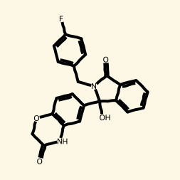 O=C1COc2ccc(C3(O)c4ccccc4C(=O)N3Cc3ccc(F)cc3)cc2N1